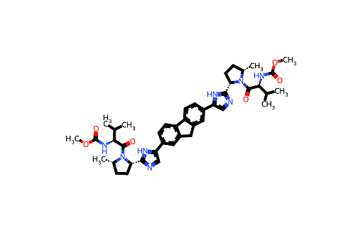 COC(=O)N[C@H](C(=O)N1[C@@H](C)CC[C@H]1c1ncc(-c2ccc3c(c2)Cc2cc(-c4cnc([C@@H]5CC[C@H](C)N5C(=O)[C@@H](NC(=O)OC)C(C)C)[nH]4)ccc2-3)[nH]1)C(C)C